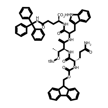 C=C(NC(Cc1c[nH]c2ccccc12)C(=O)N[C@@H](CCC(=O)NC(c1ccccc1)(c1ccccc1)c1ccccc1)C(=O)O)[C@@H](NC(=O)[C@H](CCC(N)=O)NC(=O)OCC1c2ccccc2-c2ccccc21)[C@@H](C)OC(C)(C)C